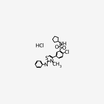 Cl.Cn1c(-c2ccc(Cl)c(S(=O)(=O)NC3CCCC3)c2)csc1=Nc1ccccc1